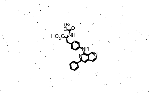 CC(C)(C)OC(=O)NC(Cc1ccc(Nc2nc(-c3ccccc3)cc3ccncc23)cc1)C(=O)O